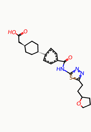 O=C(O)C[C@H]1CC[C@H](c2ccc(C(=O)Nc3nnc(CCC4CCCO4)s3)cc2)CC1